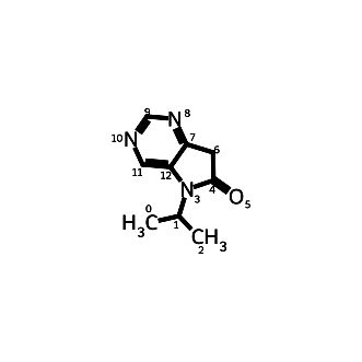 CC(C)N1C(=O)Cc2ncncc21